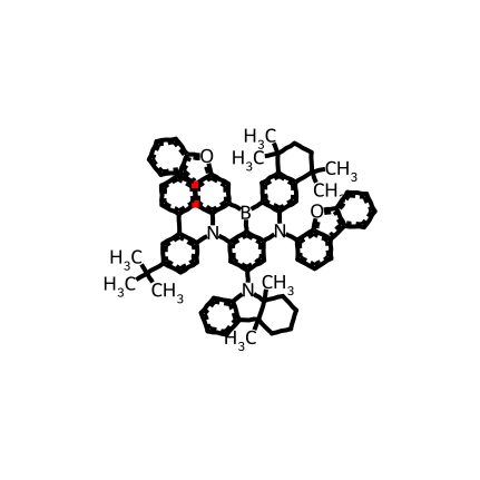 CC(C)(C)c1ccc(N2c3cc4c(cc3B3c5cc6c(cc5N(c5cccc7c5oc5ccccc57)c5cc(N7c8ccccc8C8(C)CCCCC78C)cc2c53)C(C)(C)CCC6(C)C)oc2ccccc24)c(-c2ccccc2)c1